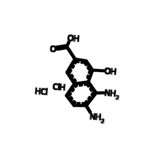 Cl.Cl.Nc1ccc2cc(C(=O)O)cc(O)c2c1N